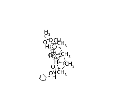 CC(=O)O[C@H]1CC[C@@]2(C)C(CC[C@]3(C)[C@@H]2C(=O)C=C2[C@@H]4C[C@@](C)(C(=O)NOCc5ccccc5)CC[C@]4(C)CC[C@]23C)C1(C)C